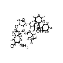 CC(C)(CC[C@@H]1C[C@H](Oc2nc3cc(Cl)c(N)nc3n2COCC[Si](C)(C)C)CO1)[Si](O)(c1ccccc1)c1ccccc1